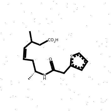 CC(/C=C\C[C@@H](C)NC(=O)Cc1cccs1)CC(=O)O